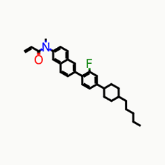 C=CC(=O)N(C)c1ccc2cc(-c3ccc(C4CCC(CCCCC)CC4)cc3F)ccc2c1